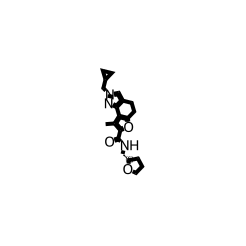 Cc1c(C(=O)NC[C@@H]2CCCO2)oc2c1-c1nn(CC3CC3)cc1CC2